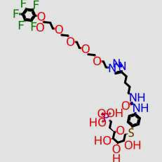 O=C(NCCCCc1cn(CCOCCOCCOCCOCCC(=O)Oc2c(F)c(F)c(F)c(F)c2F)nn1)Nc1ccc(S[C@H]2O[C@H](CCP(=O)(O)O)[C@@H](O)[C@H](O)[C@@H]2O)cc1